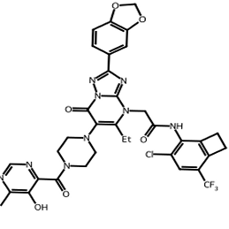 CCc1c(N2CCN(C(=O)c3ncnc(C)c3O)CC2)c(=O)n2nc(-c3ccc4c(c3)OCO4)nc2n1CC(=O)Nc1c(Cl)cc(C(F)(F)F)c2c1CC2